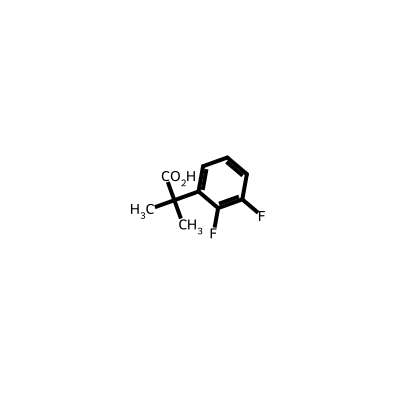 CC(C)(C(=O)O)c1cccc(F)c1F